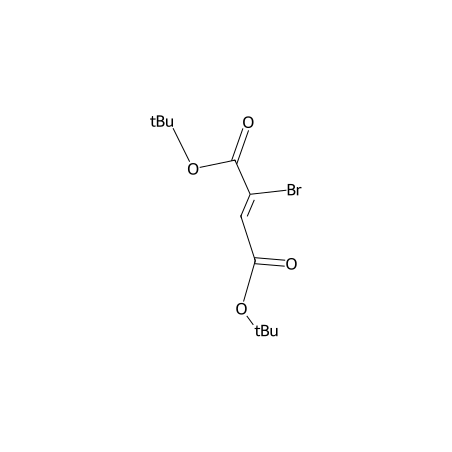 CC(C)(C)OC(=O)C=C(Br)C(=O)OC(C)(C)C